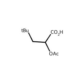 CC(=O)OC(CC(C)(C)C)C(=O)O